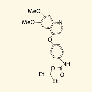 CCC(CC)OC(=O)Nc1ccc(Oc2ccnc3cc(OC)c(OC)cc23)cc1